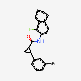 CC(C)c1cccc(C2CC2C(=O)Nc2ccc3ccccc3c2F)c1